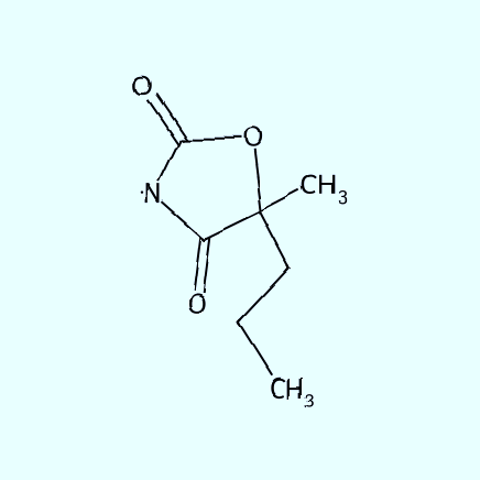 CCCC1(C)OC(=O)[N]C1=O